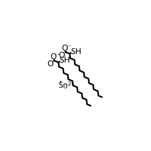 CCCCCCCCCCCCCCC(S)C(=O)[O-].CCCCCCCCCCCCCCC(S)C(=O)[O-].[CH3][Sn+2][CH3]